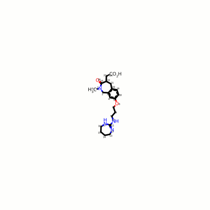 CN1Cc2cc(OCCCNC3=NCCCCN3)ccc2CC(CC(=O)O)C1=O